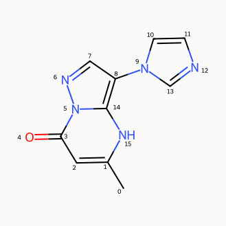 Cc1cc(=O)n2ncc(-n3ccnc3)c2[nH]1